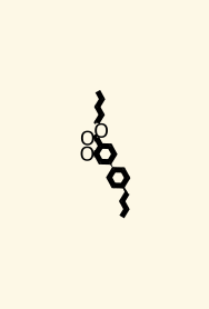 CCCCCOC(=O)C1CCC([C@H]2CC[C@H](CCCC)CC2)CC1=O